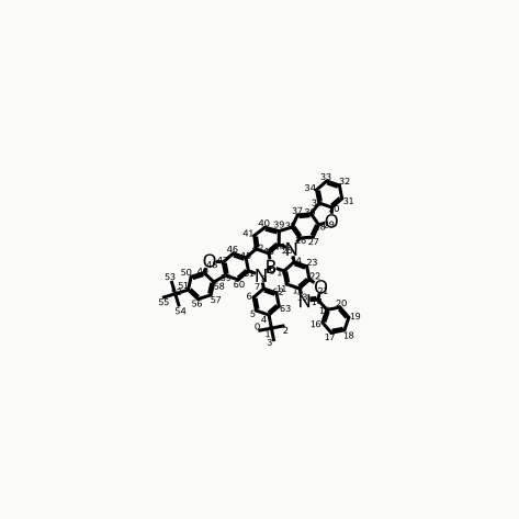 CC(C)(C)c1ccc(N2B3c4cc5nc(-c6ccccc6)oc5cc4-n4c5cc6oc7ccccc7c6cc5c5ccc(c3c54)-c3cc4oc5cc(C(C)(C)C)ccc5c4cc32)cc1